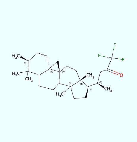 C[C@H](CC(=O)C(F)(F)F)[C@H]1CC[C@@]2(C)C3CCC4C(C)(C)[C@@H](C)CC[C@@]45C[C@@]35CC[C@]12C